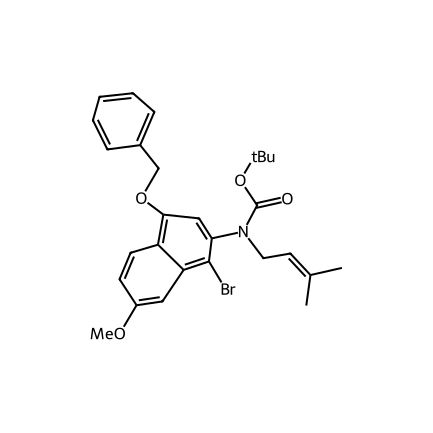 COc1ccc2c(OCc3ccccc3)cc(N(CC=C(C)C)C(=O)OC(C)(C)C)c(Br)c2c1